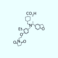 CCc1cc(CN(C[C@H]2CC[C@H](C(=O)O)CC2)C(C)c2ccc3c(c2)CCO3)ccc1OCCN1C(=O)CCC1=O